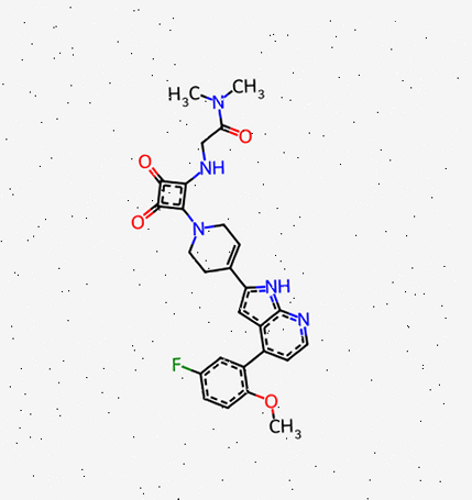 COc1ccc(F)cc1-c1ccnc2[nH]c(C3=CCN(c4c(NCC(=O)N(C)C)c(=O)c4=O)CC3)cc12